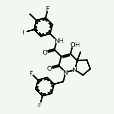 Cc1c(F)cc(NC(=O)C2=C(O)C3(C)CCCN3N(Cc3cc(F)cc(F)c3)C2=O)cc1F